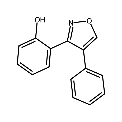 Oc1ccccc1-c1nocc1-c1ccccc1